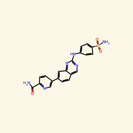 NC(=O)c1ccc(-c2ccc3cnc(Nc4ccc(S(N)(=O)=O)cc4)nc3c2)cn1